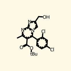 Cc1nc2nc(CO)cn2c(-c2ccc(Cl)cc2Cl)c1C(=O)OC(C)(C)C